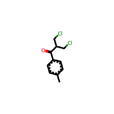 Cc1ccc(C(=O)C(CCl)CCl)cc1